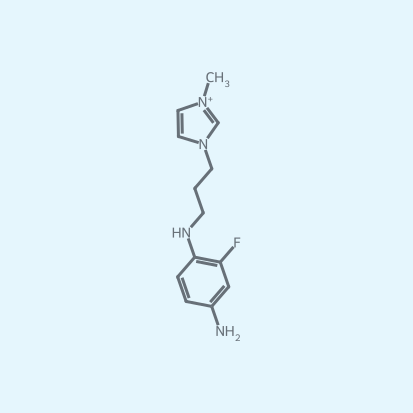 C[n+]1ccn(CCCNc2ccc(N)cc2F)c1